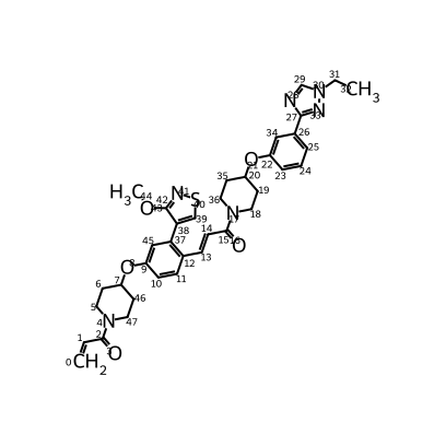 C=CC(=O)N1CCC(Oc2ccc(/C=C/C(=O)N3CCC(Oc4cccc(-c5ncn(CC)n5)c4)CC3)c(-c3csnc3OC)c2)CC1